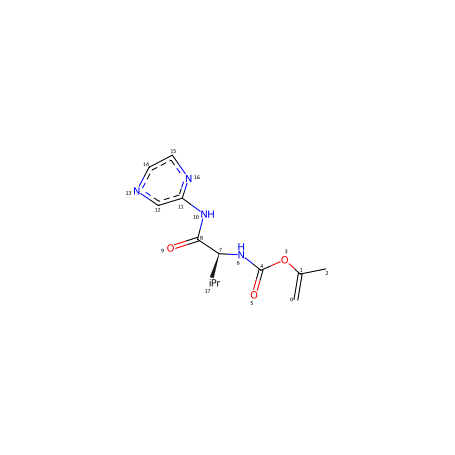 C=C(C)OC(=O)N[C@H](C(=O)Nc1cnccn1)C(C)C